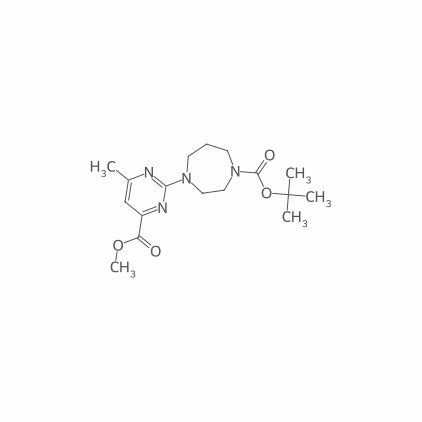 COC(=O)c1cc(C)nc(N2CCCN(C(=O)OC(C)(C)C)CC2)n1